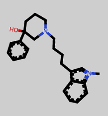 Cn1cc(CCCCN2CCCC(O)(c3ccccc3)C2)c2ccccc21